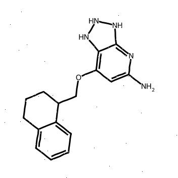 Nc1cc(OCC2CCCc3ccccc32)c2c(n1)NNN2